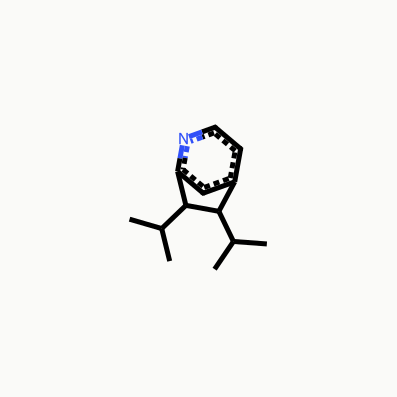 CC(C)C1c2ccnc(c2)C1C(C)C